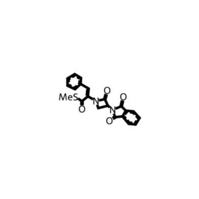 CSC(=O)C(=Cc1ccccc1)N1CC(N2C(=O)c3ccccc3C2=O)C1=O